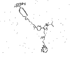 CC(C)c1nc(-c2ccc(OCCCCCOc3ccc(C(=N)NO)cc3)cc2)c(CCNCCCn2ccnc2)s1